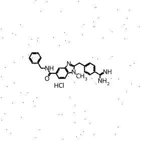 Cl.Cn1c(Cc2ccc(C(=N)N)cc2)nc2cc(C(=O)NCc3ccccc3)ccc21